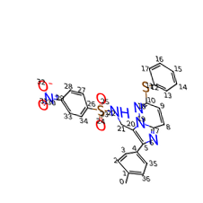 Cc1ccc(-c2nc3ccc(Sc4ccccc4)nn3c2CNS(=O)(=O)c2ccc([N+](=O)[O-])cc2)cc1